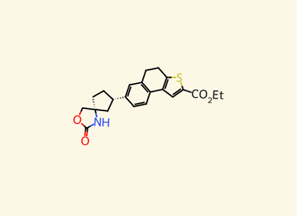 CCOC(=O)c1cc2c(s1)CCc1cc([C@H]3CC[C@]4(COC(=O)N4)C3)ccc1-2